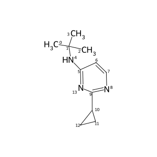 CC(C)(C)Nc1ccnc(C2CC2)n1